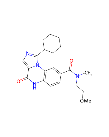 COCCN(C(=O)c1ccc2[nH]c(=O)c3cnc(C4CCCCC4)n3c2c1)C(F)(F)F